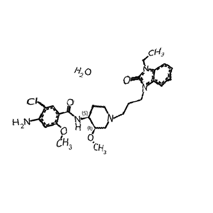 CCn1c(=O)n(CCCN2CC[C@H](NC(=O)c3cc(Cl)c(N)cc3OC)[C@H](OC)C2)c2ccccc21.O